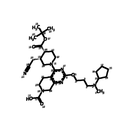 CN(CCCOc1nc2c(c(N3CC[C@@H](C(=O)OC(C)(C)C)[C@@H](CC#N)C3)n1)CCN(C(=O)O)C2)C1CCCC1